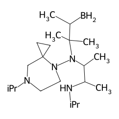 BC(C)C(C)(C)N(C(C)C(C)NC(C)C)N1CCN(C(C)C)CC12CC2